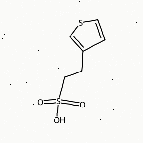 O=S(=O)(O)CCc1ccsc1